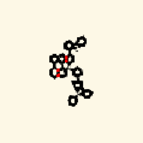 c1ccc(-n2c3ccccc3c3cc(-c4cccc(N(c5ccc(-c6cccc7c6sc6ccccc67)cc5)c5ccccc5-c5cccc6cccc(C7CCCCC7)c56)c4)ccc32)cc1